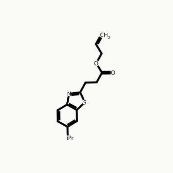 C=CCOC(=O)CCc1nc2ccc(C(C)C)cc2s1